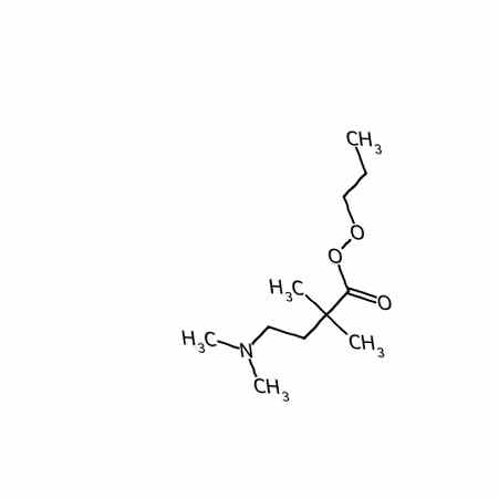 CCCOOC(=O)C(C)(C)CCN(C)C